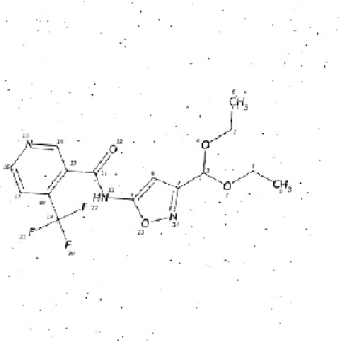 CCOC(OCC)c1cc(NC(=O)c2cnccc2C(F)(F)F)on1